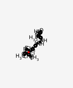 COc1ccc([C@]2(CCN(Cc3ccc(C4=CCC(C(=O)N[C@H]5C[C@H](Nc6ccc7c(c6)n(C)c(=O)n7C6CCC(=O)NC6=O)C5)CC4)cc3)CC(C)(C)C(F)(F)F)CCOC(C)(C)C2)cc1